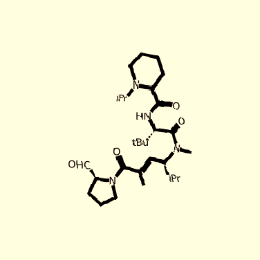 C/C(=C\[C@H](C(C)C)N(C)C(=O)[C@@H](NC(=O)C1CCCCN1C(C)C)C(C)(C)C)C(=O)N1CCC[C@H]1C=O